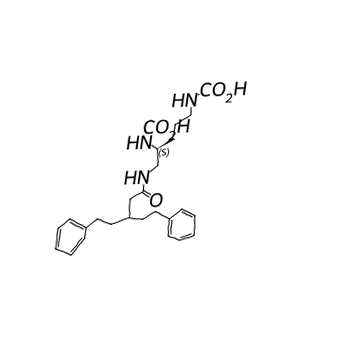 O=C(O)NCCC[C@@H](CNC(=O)CC(CCc1ccccc1)CCc1ccccc1)NC(=O)O